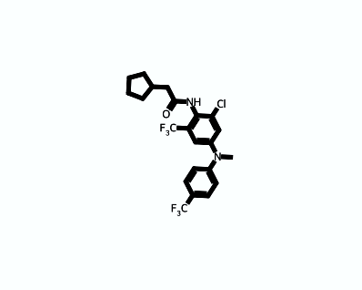 CN(c1ccc(C(F)(F)F)cc1)c1cc(Cl)c(NC(=O)CC2CCCC2)c(C(F)(F)F)c1